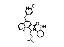 CN(C)CCC1c2c(cc(Cc3ccc(Cl)nc3)c3cccnc23)C(=O)N1[C@H]1CCCC[C@@H]1O